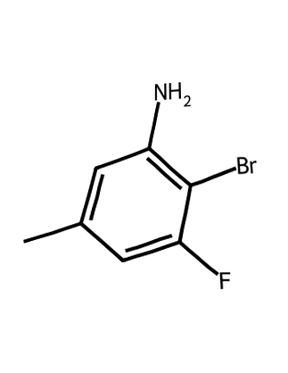 Cc1cc(N)c(Br)c(F)c1